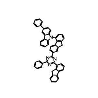 c1ccc(-c2ccc3c(c2)c2ccccc2n3-c2cccc3c2-c2ccc(-c4nc(-c5ccccc5)nc(-c5cccc6c5Cc5ccccc5-6)n4)cc2C3)cc1